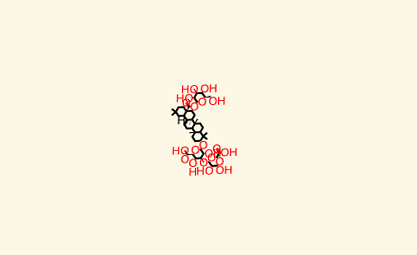 CC1(C)CC[C@]2(C(=O)O[C@@H]3O[C@H](CO)[C@@H](O)[C@H](O)[C@H]3O)CC[C@]3(C)C(=CCC4[C@@]5(C)CCC(O[C@@H]6O[C@H](C(=O)O)[C@@H](O)[C@H](OC(OCC(=O)O)C(O)C(=O)O)[C@H]6O)C(C)(C)C5CC[C@]43C)[C@H]2C1